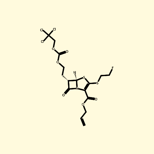 C=CCOC(=O)C1=C(SCCF)S[C@@H]2[C@@H](CCOC(=O)OCC(Cl)(Cl)Cl)C(=O)N12